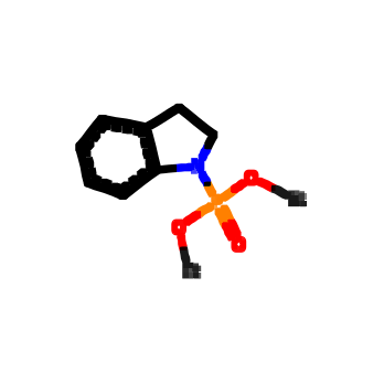 CCOP(=O)(OCC)N1CCc2ccccc21